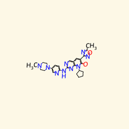 Cc1nc(-c2cc3cnc(Nc4ccc(N5CCN(C)CC5)cn4)nc3n(C3CCCC3)c2=O)no1